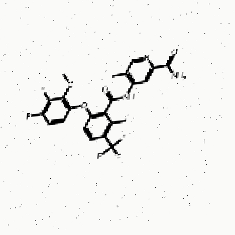 COc1c(Oc2ccc(C(F)(F)F)c(C)c2C(=O)Nc2cc(C(N)=O)ncc2C)ccc(F)c1F